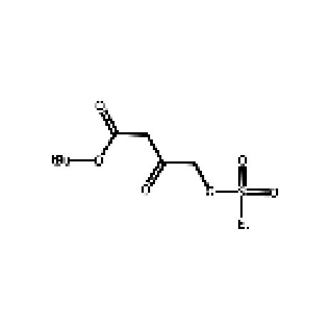 CCS(=O)(=O)OCC(=O)CC(=O)OC(C)(C)C